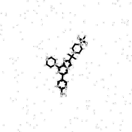 CC(C)(c1cn2cc(-c3cnc(N)nc3)nc(N3CCOCC3)c2n1)N1CCN(S(C)(=O)=O)CC1